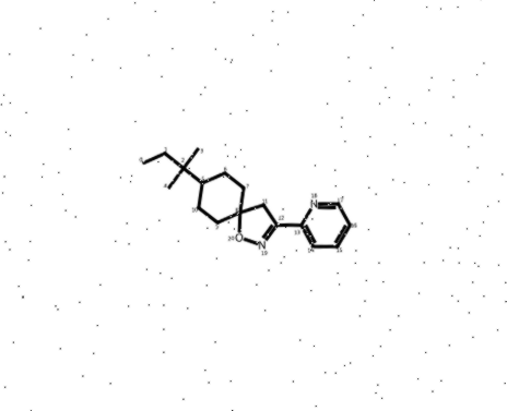 CCC(C)(C)C1CCC2(CC1)CC(c1ccccn1)=NO2